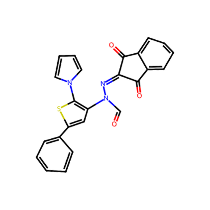 O=CN(N=c1c(=O)c2ccccc2c1=O)c1cc(-c2ccccc2)sc1-n1cccc1